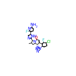 CC1CC2CC(c3c(-n4cnnn4)ccc(Cl)c3F)=CC(=O)N2C1c1ncc(-c2ccc(N)nc2F)[nH]1